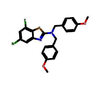 COc1ccc(CN(Cc2ccc(OC)cc2)c2nc3cc(Br)cc(F)c3s2)cc1